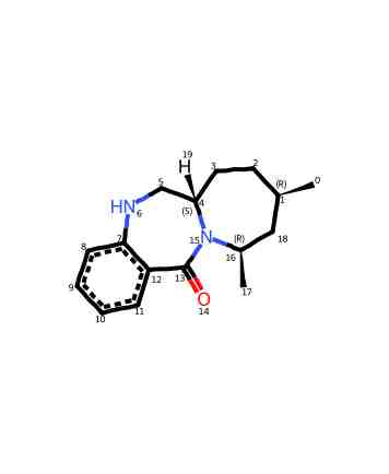 C[C@@H]1CC[C@H]2CNc3ccccc3C(=O)N2[C@H](C)C1